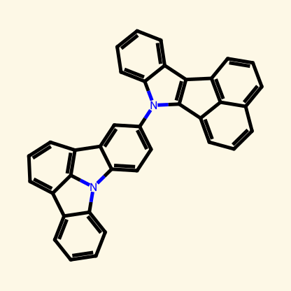 c1cc2c3c(cccc3c1)-c1c-2c2ccccc2n1-c1ccc2c(c1)c1cccc3c4ccccc4n2c31